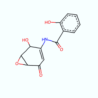 O=C(NC1=CC(=O)C2OC2C1O)c1ccccc1O